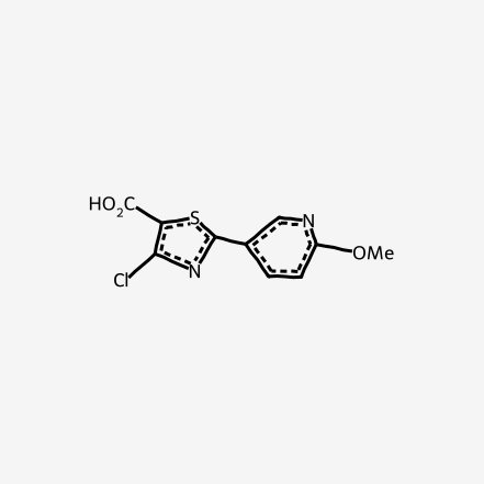 COc1ccc(-c2nc(Cl)c(C(=O)O)s2)cn1